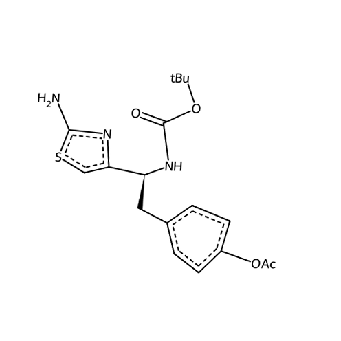 CC(=O)Oc1ccc(C[C@H](NC(=O)OC(C)(C)C)c2csc(N)n2)cc1